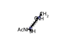 C=CC/C=C/NC(=O)CCCCCCCC/C=C/C(CS)NC(C)=O